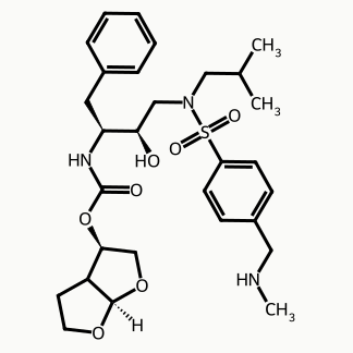 CNCc1ccc(S(=O)(=O)N(CC(C)C)C[C@@H](O)[C@H](Cc2ccccc2)NC(=O)O[C@H]2CO[C@H]3OCCC32)cc1